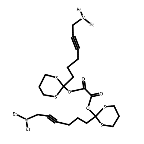 CCN(CC)CC#CCCCC1(OC(=O)C(=O)OC2(CCCC#CCN(CC)CC)SCCCS2)SCCCS1